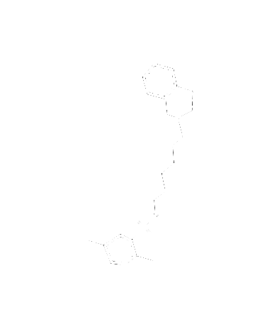 O=S(=O)(NCCCCCCN1CCc2ccccc2C1)c1cc(Cl)ccc1Cl